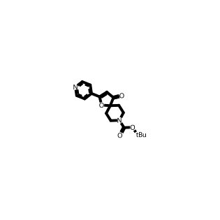 CC(C)(C)OC(=O)N1CCC2(CC1)OC(c1ccncc1)=CC2=O